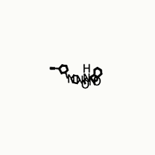 C#Cc1cccc(CN2CCN(C(=O)Nc3noc4ccccc34)CC2)c1